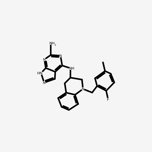 Cc1ccc(F)c(CN2CC(Nc3nc(N)nc4[nH]ncc34)Cc3ccccc32)c1